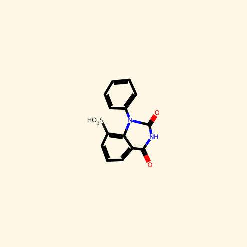 O=c1[nH]c(=O)n(-c2ccccc2)c2c(S(=O)(=O)O)cccc12